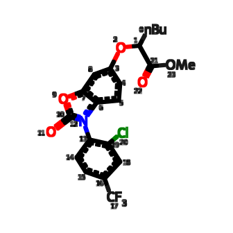 CCCCC(Oc1ccc2c(c1)oc(=O)n2-c1ccc(C(F)(F)F)cc1Cl)C(=O)OC